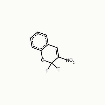 O=[N+]([O-])C1=Cc2ccccc2OC1(F)F